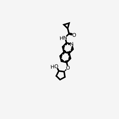 O=C(Nc1cc2ccc(O[C@H]3CCCC3O)cc2cn1)C1CC1